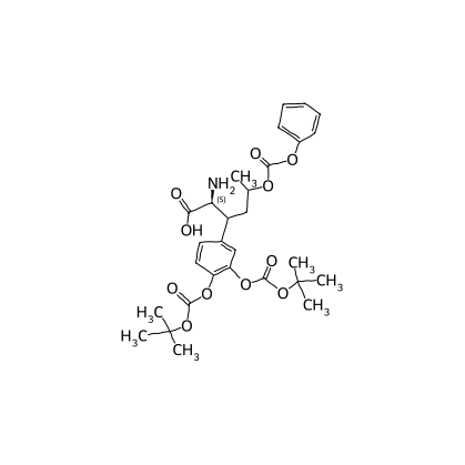 CC(CC(c1ccc(OC(=O)OC(C)(C)C)c(OC(=O)OC(C)(C)C)c1)[C@H](N)C(=O)O)OC(=O)Oc1ccccc1